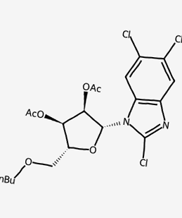 CCCCOC[C@H]1O[C@@H](n2c(Cl)nc3cc(Cl)c(Cl)cc32)[C@H](OC(C)=O)[C@@H]1OC(C)=O